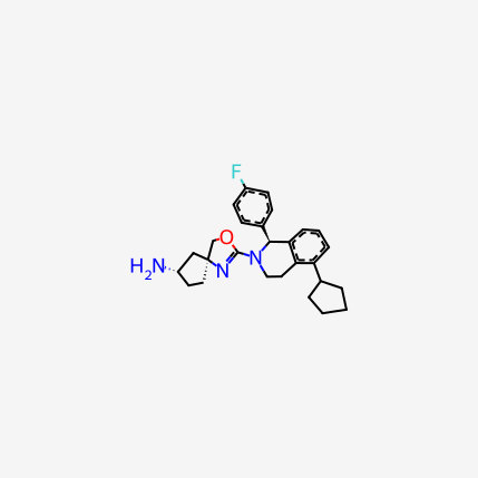 N[C@H]1CC[C@@]2(COC(N3CCc4c(C5CCCC5)cccc4[C@@H]3c3ccc(F)cc3)=N2)C1